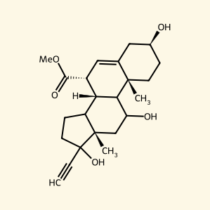 C#CC1(O)CCC2[C@H]3C(C(O)C[C@@]21C)[C@@]1(C)CC[C@H](O)CC1=C[C@H]3C(=O)OC